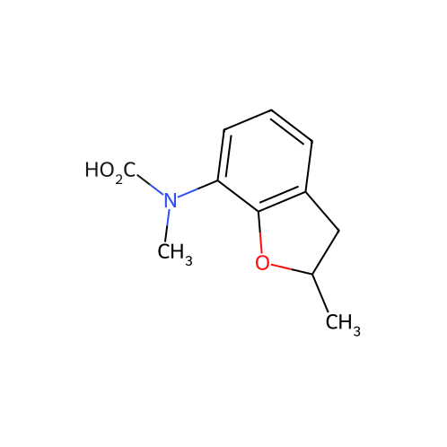 CC1Cc2cccc(N(C)C(=O)O)c2O1